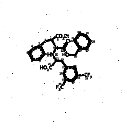 CCOC(=O)[C@H](Cc1ccccc1)N(N[C@@H](Cc1cc(C(F)(F)F)cc(C(F)(F)F)c1)C(=O)O)C(=O)OCc1ccccc1